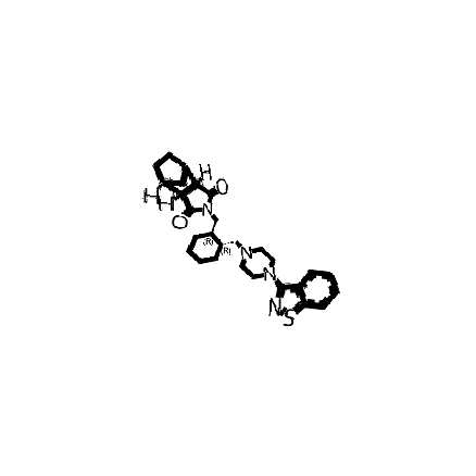 O=C1[C@@H]2[C@H]3CCC(C3)[C@@H]2C(=O)N1C[C@@H]1CCCC[C@H]1CN1CCN(c2nsc3ccccc23)CC1